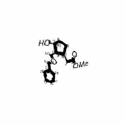 COC(=O)C[C@@H]1CC[C@@H](O)[C@@H]1COCc1ccccc1